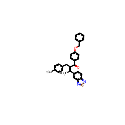 CC(C)(C)c1ccc(C/C(C(=O)c2ccc(OCc3ccccc3)cc2)=C(\C(=O)O)c2ccc3nsnc3c2)cc1